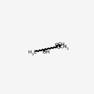 CCCCCCC(O)CCCCCCCCC(=O)OC(C)C